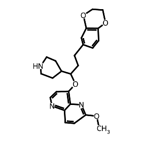 COc1ccc2nccc(OC(CCc3ccc4c(c3)OCCO4)C3CCNCC3)c2n1